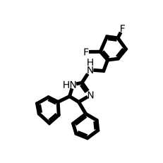 Fc1ccc(CNC2=NC(c3ccccc3)C(c3ccccc3)N2)c(F)c1